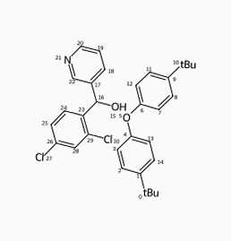 CC(C)(C)c1ccc(Oc2ccc(C(C)(C)C)cc2)cc1.OC(c1cccnc1)c1ccc(Cl)cc1Cl